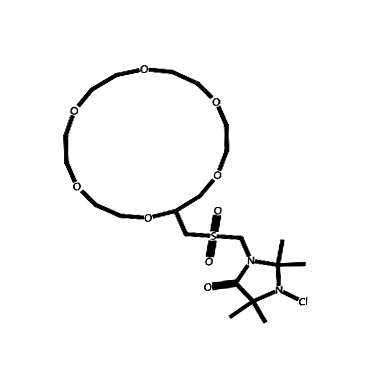 CC1(C)C(=O)N(CS(=O)(=O)CC2COCCOCCOCCOCCOCCO2)C(C)(C)N1Cl